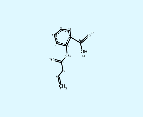 C=CCC(=O)Oc1ccccc1C(=O)O